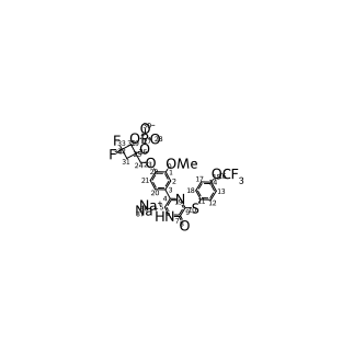 COc1cc(-c2c[nH]c(=O)c(Sc3ccc(OC(F)(F)F)cc3)n2)ccc1OCC1(OP(=O)([O-])[O-])CC(F)(F)C1.[Na+].[Na+]